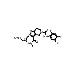 CC(=O)NC[C@H]1Cn2nc3c(c2C(=O)N(C)O1)CN(C(=O)Nc1cc(Br)c(F)cc1F)CC3